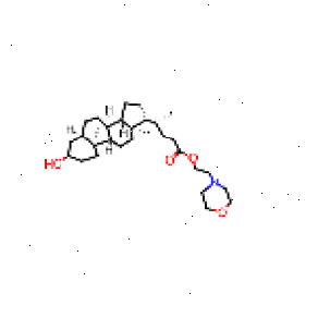 C[C@H](CCC(=O)OCCN1CCOCC1)[C@H]1CC[C@H]2[C@@H]3CC[C@@H]4C[C@H](O)CC[C@]4(C)[C@H]3CC[C@]12C